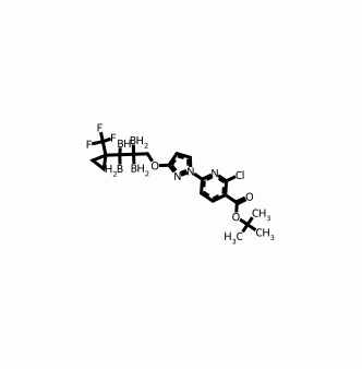 BC(B)(COc1ccn(-c2ccc(C(=O)OC(C)(C)C)c(Cl)n2)n1)C(B)(B)C1(C(F)(F)F)CC1